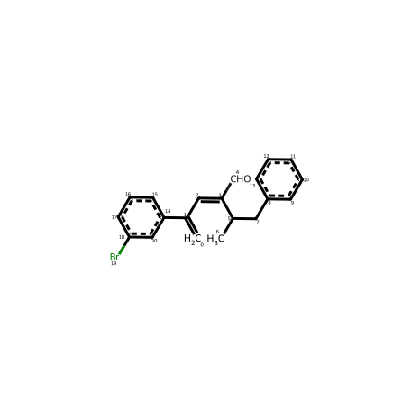 C=C(/C=C(/C=O)C(C)Cc1ccccc1)c1cccc(Br)c1